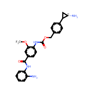 Nc1ccccc1NC(=O)c1ccc(NC(=O)OCc2ccc(C3C[C@@H]3N)cc2)c(OC(F)(F)F)c1